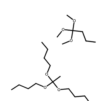 CCCC(OC)(OC)OC.CCCCOC(C)(OCCCC)OCCCC